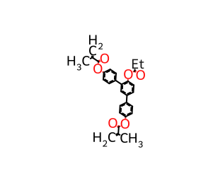 C=C(C)C(=O)Oc1ccc(-c2ccc(OC(=O)CC)c(-c3ccc(OC(=O)C(=C)C)cc3)c2)cc1